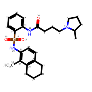 CC1CCCN1CCCC(=O)Nc1ccccc1S(=O)(=O)Nc1ccc2c(c1C(=O)O)CCCC2